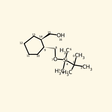 CC(C)(C)[Si](C)(C)OC[C@@H]1CCCC[C@H]1CO